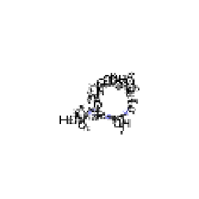 C=CCC1/C=C(/C)CC(C)CC(OC)C2OC(O)(C(=O)C(=O)N3CCCCC3C(=O)OC(/C(C)=C/C3CCC(O)C(OC)C3)C(C)/C=C\C1O)C(C)CC2OC